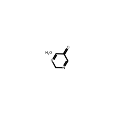 O.O=C1C=NCN=C1